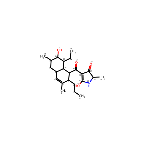 CCCC1C(C)=CC2CC(C)C(O)C(CC)C2C1C(=O)C1=C(O)NC(C)C1=O